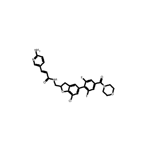 Nc1ccc(C=CC(=O)NCC2Cc3cc(-c4c(F)cc(C(=O)N5CCOCC5)cc4F)cc(Cl)c3O2)cn1